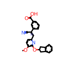 COc1ccc(/C=C(\C#N)c2cccc(C(=O)O)c2)nc1OC1Cc2ccccc2C1